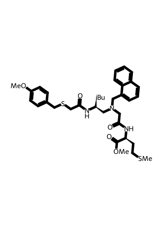 CC[C@H](C)[C@@H](CN(CC(=O)N[C@@H](CCSC)C(=O)OC)Cc1cccc2ccccc12)NC(=O)CSCc1ccc(OC)cc1